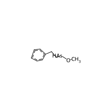 CO[AsH]CCc1ccccc1